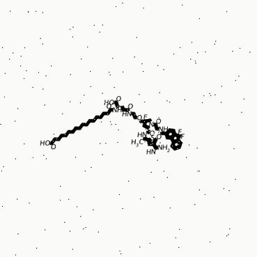 C[C@@H](NC(=O)[C@@H]1C[C@](F)(COCCNC(=O)CC[C@H](NC(=O)CCCCCCCCCCCCCCCCC(=O)O)C(=O)O)CN1C(=O)CNC(=O)c1ccc2c(c1)-c1ccccc1C2(F)F)c1cc(C(=N)N)cs1